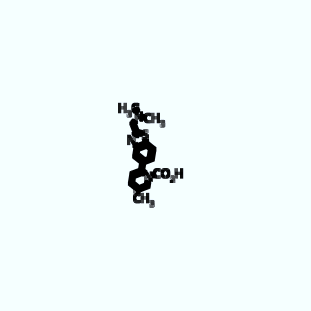 C[C@H]1CC=C(c2ccc3sc(CN(C)C)nc3c2)N(C(=O)O)C1